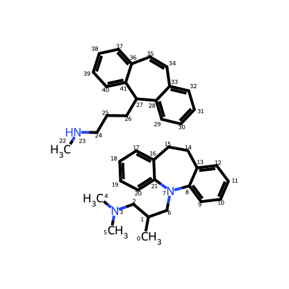 CC(CN(C)C)CN1c2ccccc2CCc2ccccc21.CNCCCC1c2ccccc2C=Cc2ccccc21